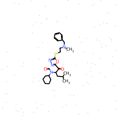 CC(C)CC(C(=O)c1nnc(SCCN(C)Cc2ccccc2)o1)N(C=O)C1CCCCC1